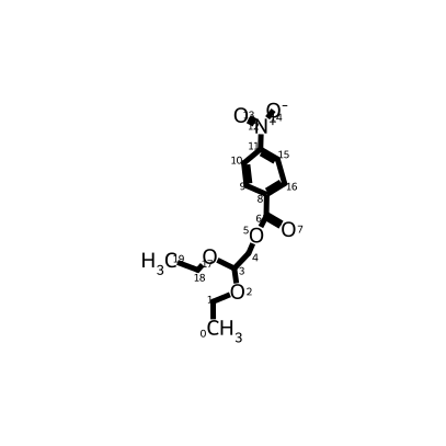 CCOC(COC(=O)c1ccc([N+](=O)[O-])cc1)OCC